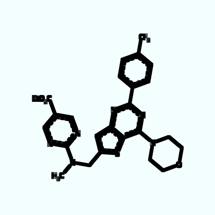 CCOC(=O)c1cnc(N(C)Cc2cc3nc(-c4ccc(C(F)(F)F)cc4)nc(N4CCOCC4)c3s2)nc1